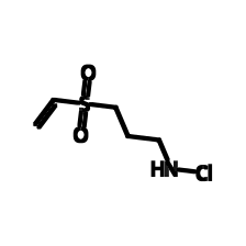 C=CS(=O)(=O)CCCNCl